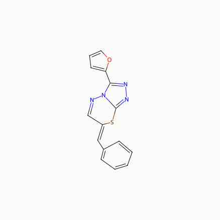 C1=Nn2c(nnc2-c2ccco2)S/C1=C\c1ccccc1